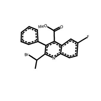 COC(=O)c1c(-c2ccccc2)c(C(C)Br)nc2ccc(F)cc12